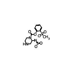 CS(=O)(=O)c1ccccc1OC(=O)N1CCNCC1N=S(=O)=O